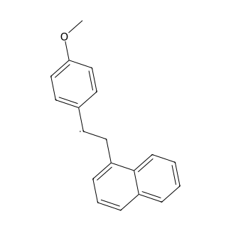 COc1ccc([CH]Cc2cccc3ccccc23)cc1